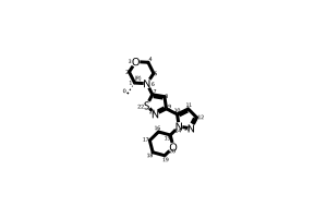 C[C@@H]1COCCN1c1cc(-c2ccnn2C2CCCCO2)ns1